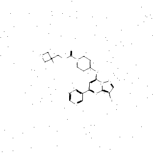 CC(C)c1cnn2c(NC3CCN(C(=O)OCC4(F)CNC4)CC3)cc(-c3cccnc3)nc12